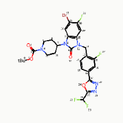 CC(C)(C)OC(=O)N1CCC(n2c(=O)n(Cc3ccc(-c4nnc(C(F)F)o4)cc3F)c3cc(F)c(Br)cc32)CC1